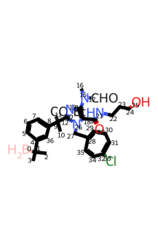 BC(C)(C)c1cccc(C(C)(C(=O)OCC)c2nc(N(C)C=O)c(C(=O)NCCCO)n2CC2=CCC=C(Cl)C=C2)c1